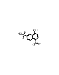 O=[N+]([O-])c1ccc(O)c2cc(S(=O)(=O)O)ccc12